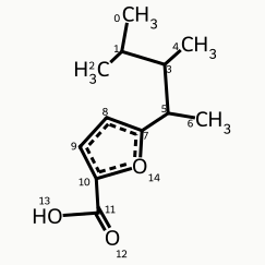 CC(C)C(C)C(C)c1ccc(C(=O)O)o1